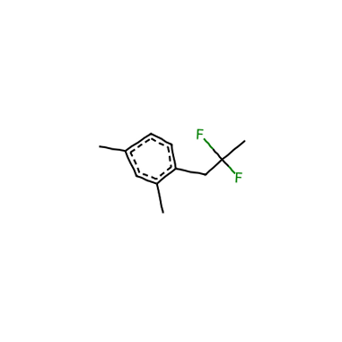 Cc1ccc(CC(C)(F)F)c(C)c1